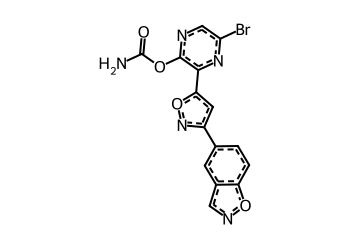 NC(=O)Oc1ncc(Br)nc1-c1cc(-c2ccc3oncc3c2)no1